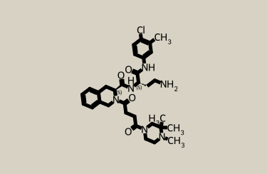 Cc1cc(NC(=O)[C@H](CCN)NC(=O)[C@@H]2Cc3ccccc3CN2C(=O)CCC(=O)N2CCN(C)C(C)(C)C2)ccc1Cl